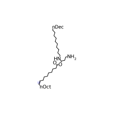 CCCCCCCC/C=C\CCCCCCCC(=O)OC(CCN)NCCCCCCCCCCCCCCCCCCCC